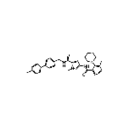 Cc1ccc(-c2ccc(CNC(=O)c3cc(NC(=O)c4cccc(C)c4N4CCCCC4)cn3C)cc2)cc1